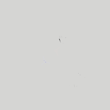 CCCCCC[C@@H](C)Oc1cc([N+](=O)[O-])c(C(=O)OCC)cc1N(C)C